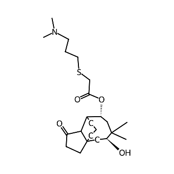 CN(C)CCCSCC(=O)O[C@@H]1CC(C)(C)[C@@H](O)CC23CCCC1C2C(=O)CC3